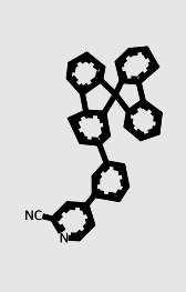 N#Cc1cc(-c2cccc(-c3ccc4c(c3)C3(c5ccccc5-c5ccccc53)c3ccccc3-4)c2)ccn1